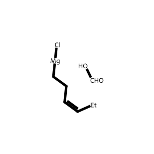 CC/C=C\C[CH2][Mg][Cl].O=CO